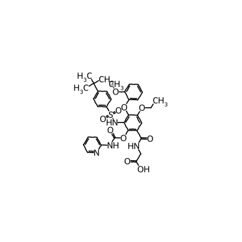 CCOc1cc(C(=O)NCC(=O)O)c(OC(=O)Nc2ccccn2)c(NS(=O)(=O)c2ccc(C(C)(C)C)cc2)c1Oc1ccccc1OC